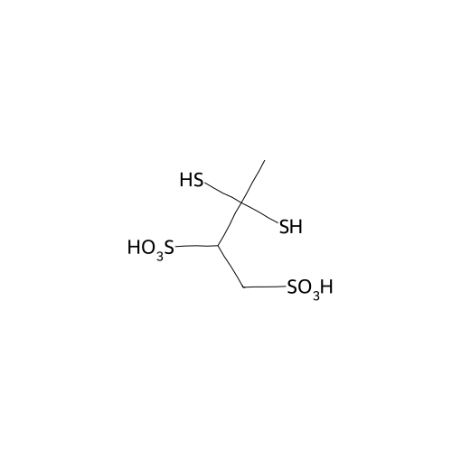 CC(S)(S)C(CS(=O)(=O)O)S(=O)(=O)O